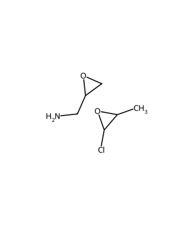 CC1OC1Cl.NCC1CO1